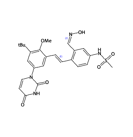 COc1c(/C=C/c2ccc(NS(C)(=O)=O)cc2/C=N\O)cc(-n2ccc(=O)[nH]c2=O)cc1C(C)(C)C